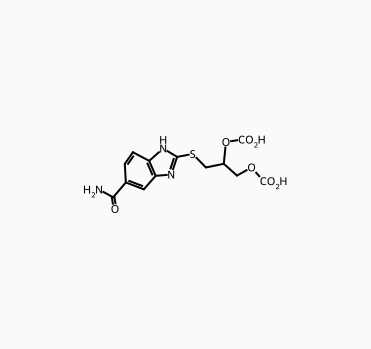 NC(=O)c1ccc2[nH]c(SCC(COC(=O)O)OC(=O)O)nc2c1